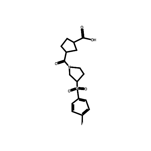 O=C(O)C1CCC(C(=O)N2CCC(S(=O)(=O)c3ccc(F)cc3)C2)C1